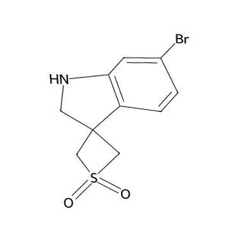 O=S1(=O)CC2(CNc3cc(Br)ccc32)C1